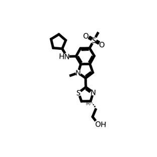 Cn1c(C2=N[C@H](CCO)CS2)cc2cc(S(C)(=O)=O)cc(NC3CCCC3)c21